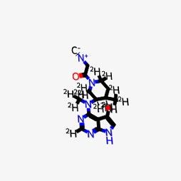 [2H]c1nc(N(C([2H])([2H])[2H])[C@@]2([2H])C([2H])([2H])N(C(=O)C[N+]#[C-])C([2H])([2H])C[C@@]2([2H])C([2H])([2H])[2H])c2c([2H])c[nH]c2n1